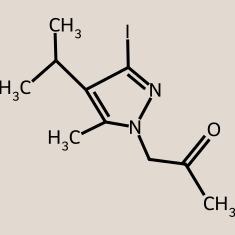 CC(=O)Cn1nc(I)c(C(C)C)c1C